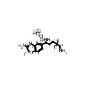 C[C@H]1Oc2ccc(C(N)CCC(F)(F)CN)cc2N=C1N.Cl.Cl.Cl